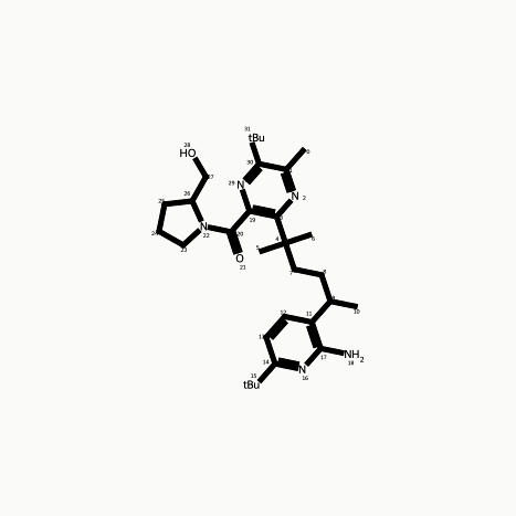 Cc1nc(C(C)(C)CCC(C)c2ccc(C(C)(C)C)nc2N)c(C(=O)N2CCCC2CO)nc1C(C)(C)C